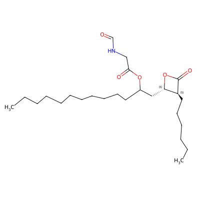 CCCCCCCCCCCC(C[C@@H]1OC(=O)[C@H]1CCCCCC)OC(=O)CNC=O